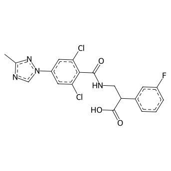 Cc1ncn(-c2cc(Cl)c(C(=O)NCC(C(=O)O)c3cccc(F)c3)c(Cl)c2)n1